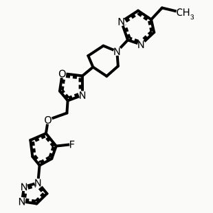 CCc1cnc(N2CCC(c3nc(COc4ccc(-n5ccnn5)cc4F)co3)CC2)nc1